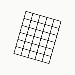 C1C2C3C4C5CC6C7C8C9C%10CC%11C%12C%13C%14CC%15C%16C%17C%18C1C21C32C43C56C74C85C96C%11%10C%127C%138C%14%15C%169C%17%10C%181C21C34C52C76C89C%1012